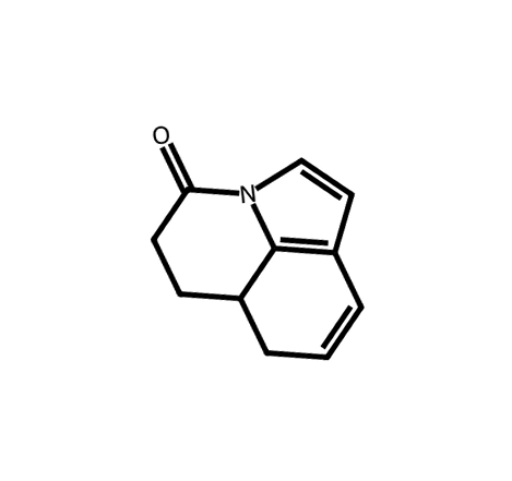 O=C1CCC2CC=Cc3ccn1c32